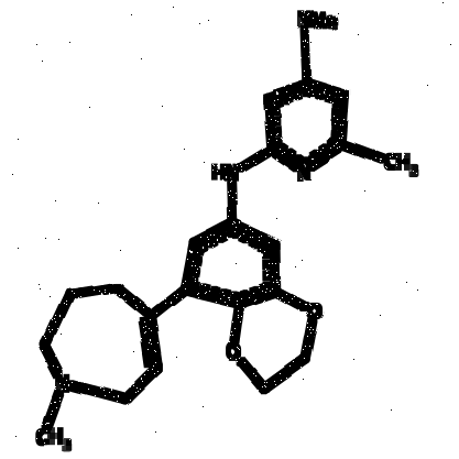 CNc1cc(C)nc(Nc2cc3c(c(C4=CCN(C)CCC4)c2)OCCO3)c1